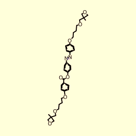 CC1(COCCCCOc2ccc(/N=N/c3ccc(OC(=O)c4ccc(OCCCCOCC5(C)COC5)cc4)cc3)cc2)COC1